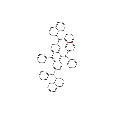 c1ccc(-c2c3cc(N(c4ccccc4)c4cccc5ccccc45)ccc3c(N(c3ccccc3)c3ccccc3)c3cc(N(c4ccccc4)c4cccc5ccccc45)ccc23)cc1